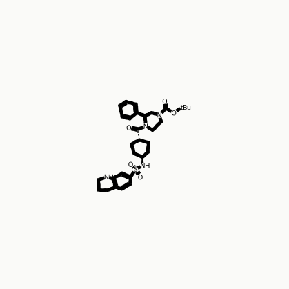 CC(C)(C)OC(=O)N1CCN(C(=O)[C@H]2CC[C@H](NS(=O)(=O)c3ccc4c(c3)NCCC4)CC2)C(c2ccccc2)C1